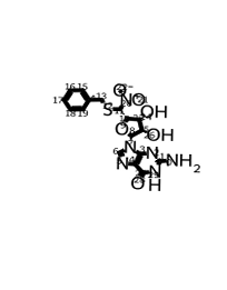 Nc1nc2c(ncn2[C@@H]2O[C@H](C(SCc3ccccc3)[N+](=O)[O-])[C@@H](O)[C@H]2O)c(=O)[nH]1